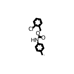 [CH2]c1ccc(NC(=O)OCc2ccccc2Cl)cc1